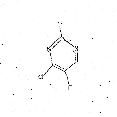 Cc1ncc(F)c(Cl)n1